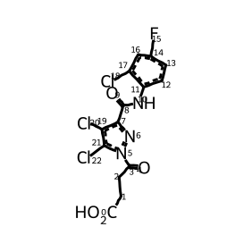 O=C(O)CCC(=O)n1nc(C(=O)Nc2ccc(F)cc2Cl)c(Cl)c1Cl